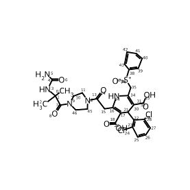 CC(C)(NC(N)=O)C(=O)N1CCN(C(=O)CC2=C(C(=O)O)C(c3c(Cl)cccc3Cl)C(C(=O)O)=C(C[S@+]([O-])c3ccccc3)N2)CC1